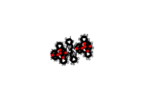 c1ccc2c(c1)N(c1ccc3c4ccccc4c4ccccc4c3c1)C(C1N(c3ccc4c5ccccc5c5ccccc5c4c3)c3ccccc3N1c1ccc3c4ccccc4c4ccccc4c3c1)N2c1ccc2c3ccccc3c3ccccc3c2c1